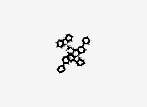 c1ccc(-c2ccc(-c3nc(-c4cc(-c5ccccc5)ccc4-n4c5ccccc5c5ccccc54)nc(-n4c5ccccc5c5ccccc54)n3)cc2)cc1